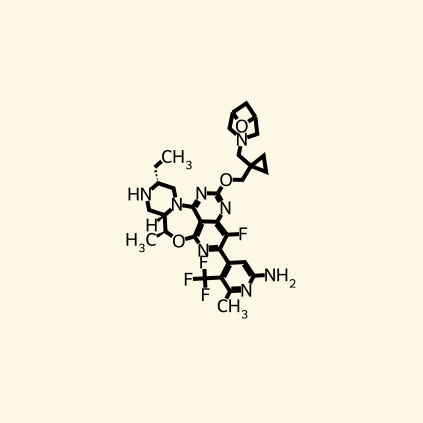 CC[C@@H]1CN2c3nc(OCC4(CN5CC6CC(C5)O6)CC4)nc4c(F)c(-c5cc(N)nc(C)c5C(F)(F)F)nc(c34)O[C@@H](C)[C@@H]2CN1